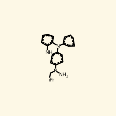 CC(C)CN(N)c1ccc(N(c2ccccc2)c2ccccc2N)cc1